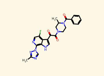 Cc1ncn(-c2ncc(F)c3c(C(=O)C(=O)N4CCN(C(=O)c5ccccc5)C(C)C4)c[nH]c23)n1